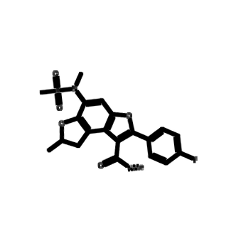 CNC(=O)c1c(-c2ccc(F)cc2)oc2cc(N(C)S(C)(=O)=O)c3c(c12)CC(C)O3